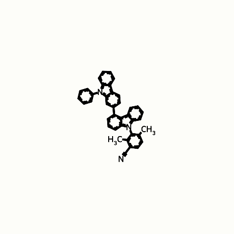 Cc1ccc(C#N)c(C)c1-n1c2ccccc2c2c(-c3ccc4c5ccccc5n(-c5ccccc5)c4c3)cccc21